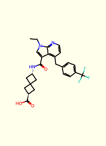 CCn1cc(C(=O)N[C@H]2CC3(C2)C[C@H](C(=O)O)C3)c2c(Cc3ccc(C(F)(F)F)cc3)ccnc21